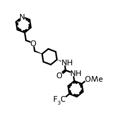 COc1ccc(C(F)(F)F)cc1NC(=O)N[C@H]1CC[C@H](COCc2ccncc2)CC1